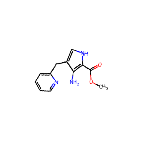 COC(=O)c1[nH]cc(Cc2ccccn2)c1N